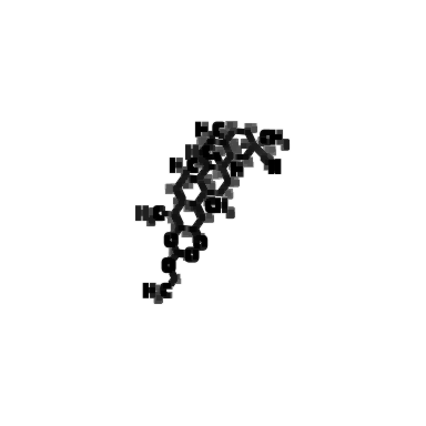 CCOC(=O)OC1=C(C)C2=CC=C3[C@@](C)(CC[C@@]4(CC)[C@@H]5C[C@](C)(C#N)CC[C@]5(C)CC[C@]34C)C2=CC1=O